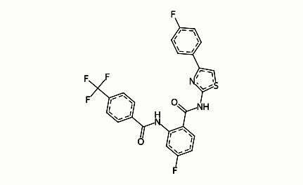 O=C(Nc1cc(F)ccc1C(=O)Nc1nc(-c2ccc(F)cc2)cs1)c1ccc(C(F)(F)F)cc1